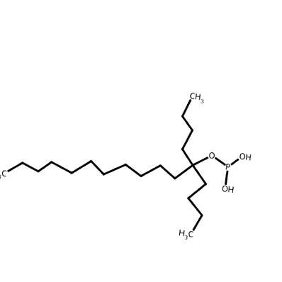 CCCCCCCCCCCC(CCCC)(CCCC)OP(O)O